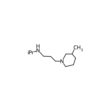 CC1CCCN(CCCNC(C)C)C1